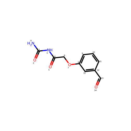 NC(=O)NC(=O)COc1cccc(C=O)c1